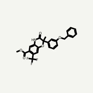 COC(=O)c1cc2c(cc1C(F)(F)F)OC(C)(c1cccc(OCc3ccccc3)c1)C(=O)N2